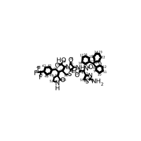 Nc1nc(C(=NOC(c2ccccc2)(c2ccccc2)c2ccccc2)C(=O)N[C@@H]2C(=O)N3C(C(=O)O)=C(C(Cc4ccc(C(F)(F)F)cc4)=C4CCNC4=O)CS[C@H]23)cs1